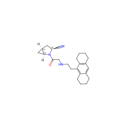 N#C[C@@H]1C[C@@H]2C[C@@H]2N1C(=O)CNCCc1c2c(cc3c1CCCC3)CCCC2